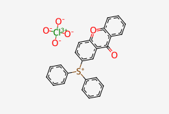 O=c1c2ccccc2oc2ccc([S+](c3ccccc3)c3ccccc3)cc12.[O-][Cl+3]([O-])([O-])[O-]